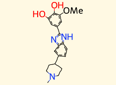 COc1cc(-c2nc3cc(C4CCN(C)CC4)ccc3[nH]2)cc(O)c1O